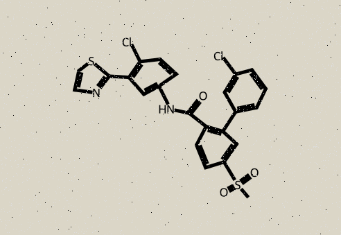 CS(=O)(=O)c1ccc(C(=O)Nc2ccc(Cl)c(-c3nccs3)c2)c(-c2cccc(Cl)c2)c1